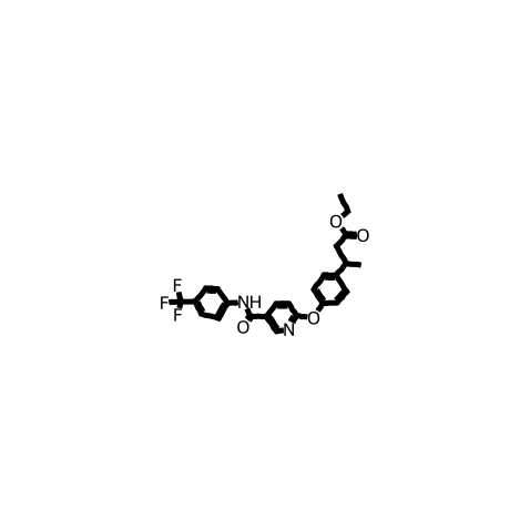 CCOC(=O)CC(C)c1ccc(Oc2ccc(C(=O)Nc3ccc(C(F)(F)F)cc3)cn2)cc1